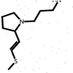 CNCCCN1CCCC1/C=C/SC